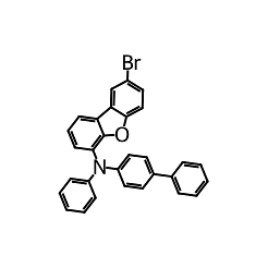 Brc1ccc2oc3c(N(c4ccccc4)c4ccc(-c5ccccc5)cc4)cccc3c2c1